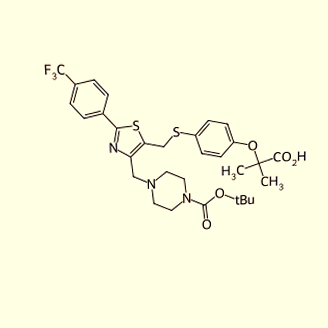 CC(C)(C)OC(=O)N1CCN(Cc2nc(-c3ccc(C(F)(F)F)cc3)sc2CSc2ccc(OC(C)(C)C(=O)O)cc2)CC1